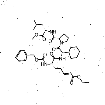 CCOC(=O)/C=C/CC[C@H](NC(=O)OCc1ccccc1)C(=O)N[C@H](C(=O)N1CCC[C@H]1C(=O)N[C@@H](CC(C)C)C(=O)OC)C1CCCCC1